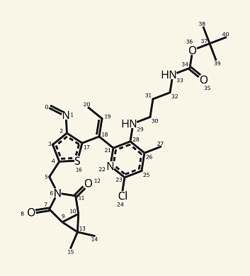 C=Nc1cc(CN2C(=O)C3C(C2=O)C3(C)C)sc1/C(=C\C)c1nc(Cl)cc(C)c1NCCCNC(=O)OC(C)(C)C